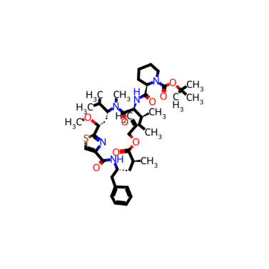 C=CCOC(=O)[C@@H](C)C[C@H](Cc1ccccc1)NC(=O)c1csc([C@@H](C[C@H](C(C)C)N(C)C(=O)[C@@H](NC(=O)[C@H]2CCCCN2C(=O)OC(C)(C)C)[C@@H](C)CC)OC)n1